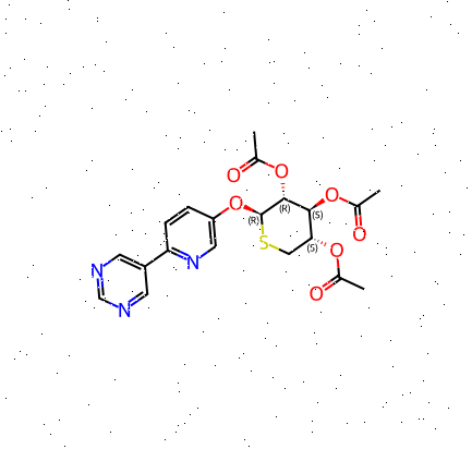 CC(=O)O[C@@H]1[C@@H](OC(C)=O)[C@H](OC(C)=O)CS[C@H]1Oc1ccc(-c2cncnc2)nc1